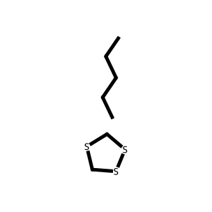 C1SCSS1.CCCCC